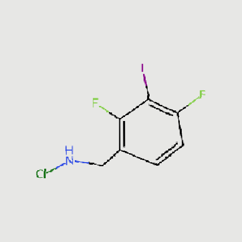 Fc1ccc(CNCl)c(F)c1I